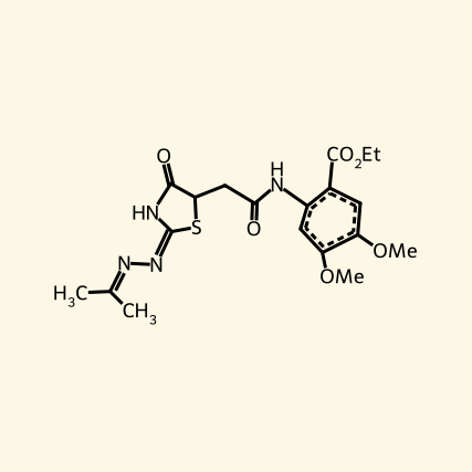 CCOC(=O)c1cc(OC)c(OC)cc1NC(=O)CC1S/C(=N/N=C(C)C)NC1=O